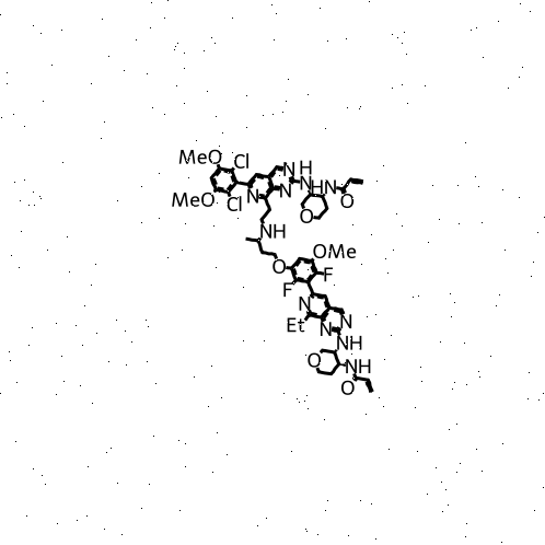 C=CC(=O)N[C@H]1CCOC[C@H]1Nc1ncc2cc(-c3c(F)c(OC)cc(OCCC(C)NCCc4nc(-c5c(Cl)c(OC)cc(OC)c5Cl)cc5cnc(N[C@@H]6COCC[C@@H]6NC(=O)C=C)nc45)c3F)nc(CC)c2n1